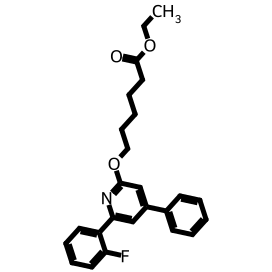 CCOC(=O)CCCCCOc1cc(-c2ccccc2)cc(-c2ccccc2F)n1